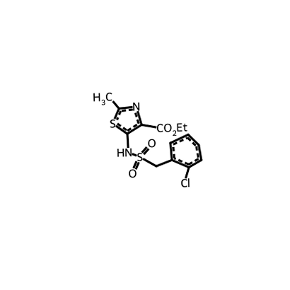 CCOC(=O)c1nc(C)sc1NS(=O)(=O)Cc1ccccc1Cl